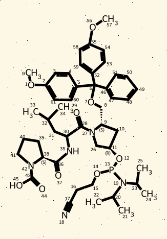 COc1ccc(C(OC[C@@H]2C[C@@H](OP(OCCC#N)N(C(C)C)C(C)C)CN2C(=O)C(CC(C)C)NC(=O)[C@@H]2CCCN2C(=O)O)(c2ccccc2)c2ccc(OC)cc2)cc1